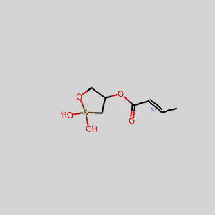 C/C=C/C(=O)OC1COS(O)(O)C1